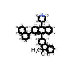 CC1(C)c2ccccc2-c2cc(-c3c4ccccc4c(-c4ccncc4)c4ccc(-c5cccc6ccccc56)cc34)ccc21